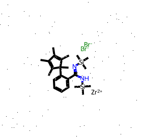 CC1=C(C)C(C)(c2ccccc2C(=N[Si](C)(C)C)N[Si](C)(C)C)C(C)=C1C.[Br-].[Br-].[Zr+2]